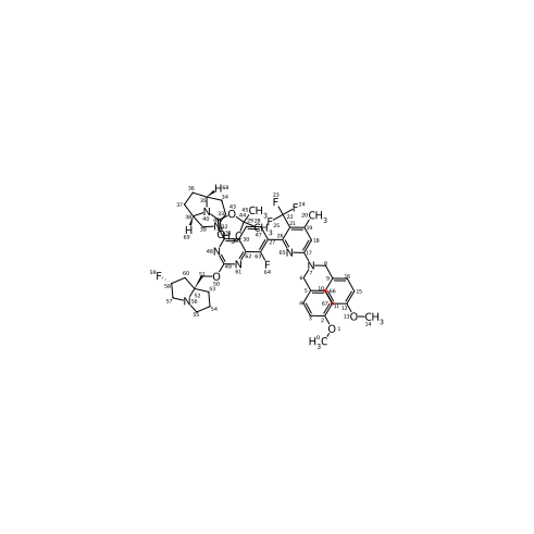 COc1ccc(CN(Cc2ccc(OC)cc2)c2cc(C)c(C(F)(F)F)c(-c3ccc4c(N5CC[C@H]6CC[C@@H](C5)N6C(=O)OC(C)(C)C)nc(OC[C@@]56CCCN5C[C@H](F)C6)nc4c3F)n2)cc1